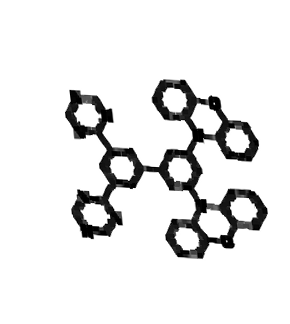 c1ccc2c(c1)Oc1ccccc1N2c1cc(-c2cc(-c3ncncn3)cc(-c3ncncn3)c2)cc(N2c3ccccc3Oc3ccccc32)c1